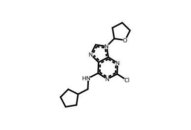 Clc1nc(NCC2CCCC2)c2ncn(C3CCCO3)c2n1